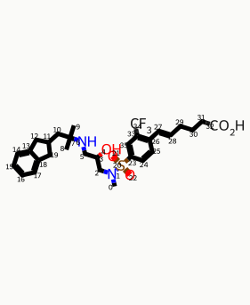 CN(CC(O)CNC(C)(C)CC1Cc2ccccc2C1)S(=O)(=O)c1ccc(C=CCCCC(=O)O)c(C(F)(F)F)c1